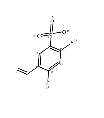 C=Cc1cc(S(=O)(=O)Cl)c(F)cc1F